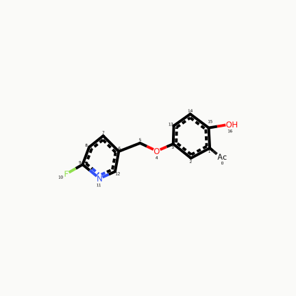 CC(=O)c1cc(OCc2ccc(F)nc2)ccc1O